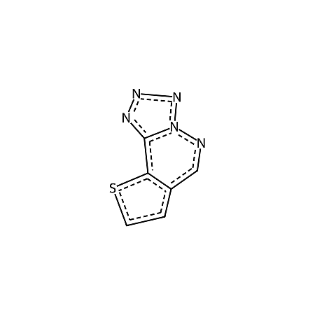 c1cc2cnn3nnnc3c2s1